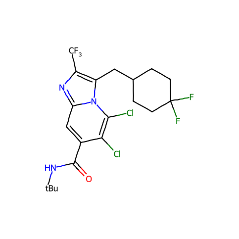 CC(C)(C)NC(=O)c1cc2nc(C(F)(F)F)c(CC3CCC(F)(F)CC3)n2c(Cl)c1Cl